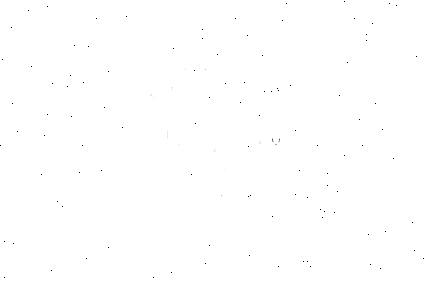 COc1cc(C)cc(O)c1COc1cccc(C)c1O